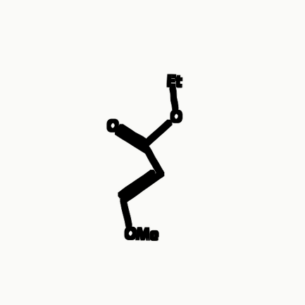 CCOC(=O)C=COC